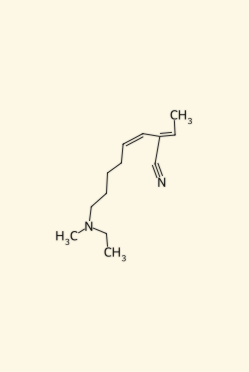 C/C=C(C#N)\C=C/CCCCN(C)CC